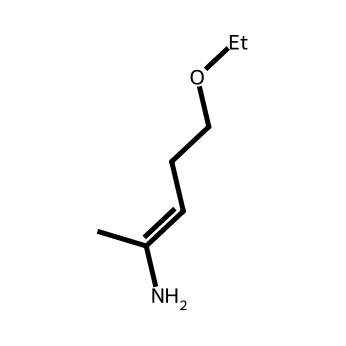 CCOCC/C=C(\C)N